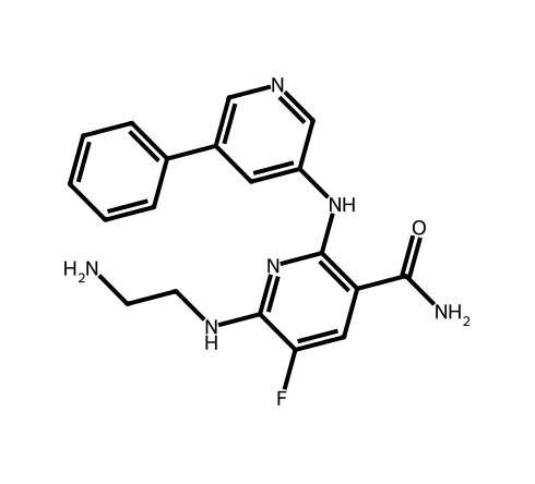 NCCNc1nc(Nc2cncc(-c3ccccc3)c2)c(C(N)=O)cc1F